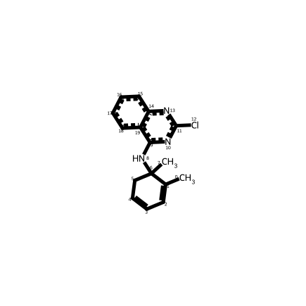 CC1=CC=CCC1(C)Nc1nc(Cl)nc2ccccc12